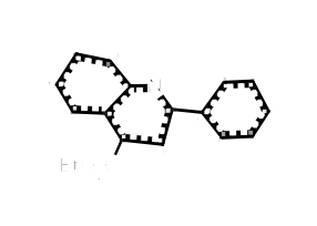 CCOC(=O)c1cc(-c2ccccc2)nc2ccccc12